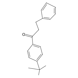 CC(C)(C)c1ccc(C(=O)CCc2ccccc2)cc1